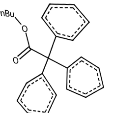 CCCCOC(=O)C(c1ccccc1)(c1ccccc1)c1ccccc1